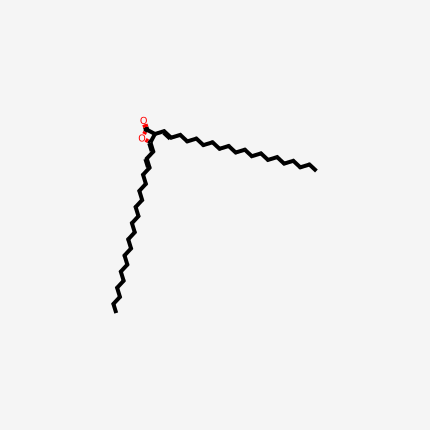 CCCCCCCCCCCCCCCCCCC=CC=C1OC(=O)C1C=CCCCCCCCCCCCCCCCCCC